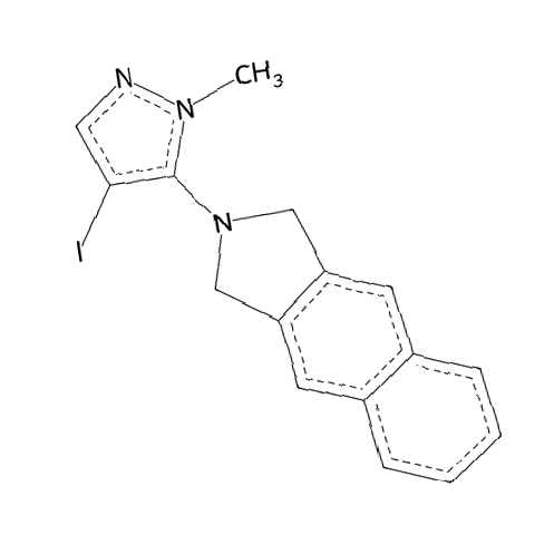 Cn1ncc(I)c1N1Cc2cc3ccccc3cc2C1